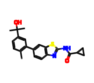 Cc1ccc(C(C)(C)O)cc1-c1ccc2nc(NC(=O)C3CC3)sc2c1